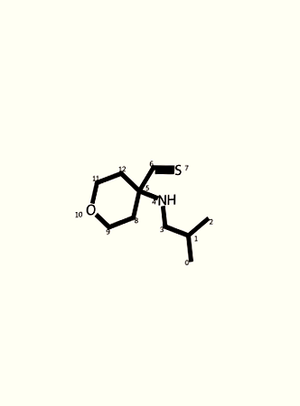 CC(C)CNC1(C=S)CCOCC1